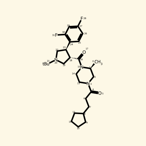 C[C@H]1CN(C(=O)CCC2CCCC2)CCN1C(=O)[C@@H]1CN(C(C)(C)C)C[C@H]1c1ccc(F)cc1F